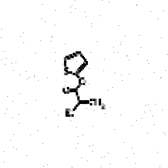 C=C(CC)C(=O)Oc1cccs1